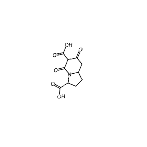 O=C(O)C1C(=O)CC2CCC(C(=O)O)N2C1=O